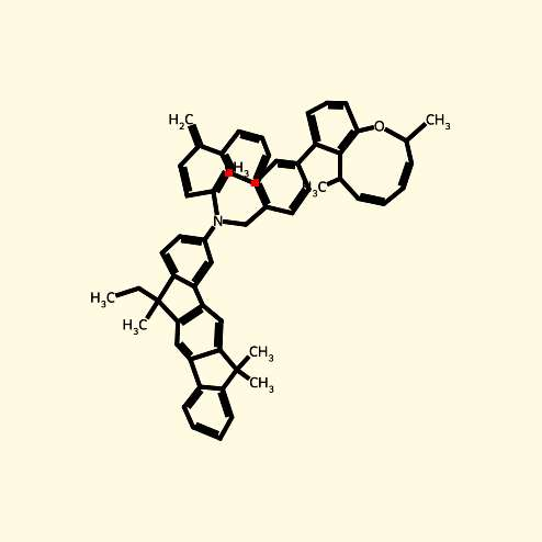 C=C(/C=C\C(=C/C)N(Cc1ccc(-c2cccc3c2C(C)/C=C\C=C/C(C)O3)cc1)c1ccc2c(c1)-c1cc3c(cc1C2(C)CC)-c1ccccc1C3(C)C)c1ccccc1